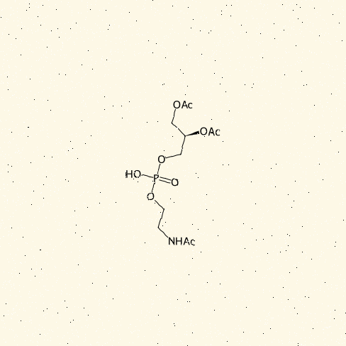 CC(=O)NCCOP(=O)(O)OC[C@@H](COC(C)=O)OC(C)=O